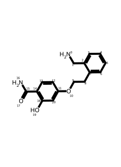 NCc1ccccc1CCOc1ccc(C(N)=O)c(O)c1